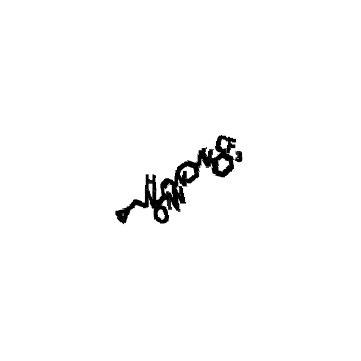 CN(c1ccccc1C(F)(F)F)C1CCN(c2ccc(C(=O)NCCC3CC3)nn2)CC1